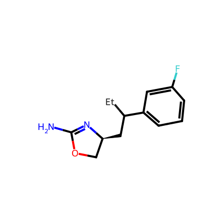 CCC(C[C@H]1COC(N)=N1)c1cccc(F)c1